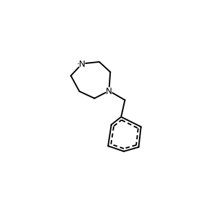 c1ccc(CN2CCC[N]CC2)cc1